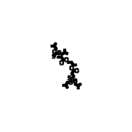 CC(C)COP(=S)(CCC(=O)OCCC(C)OC(=O)CCP(=S)(OCC(C)C)OCC(C)C)OCC(C)C